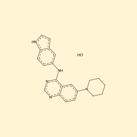 Cl.c1nc(Nc2ccc3[nH]ccc3c2)c2cc(N3CCCCC3)ccc2n1